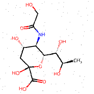 C[C@@H](O)[C@@H](O)[C@@H]1OC(O)(C(=O)O)C[C@H](O)[C@H]1NC(=O)CO